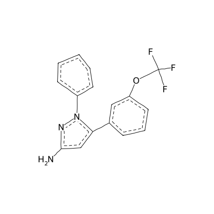 Nc1cc(-c2cccc(OC(F)(F)F)c2)n(-c2ccccc2)n1